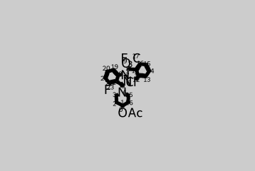 CC(=O)OC1CCN(c2nn(C(=O)c3c(Cl)cccc3C(F)(F)F)c3cccc(F)c23)CC1